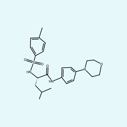 Cc1ccc(S(=O)(=O)N[C@@H](CC(C)C)C(=O)Nc2ccc(N3CCOCC3)cc2)cc1